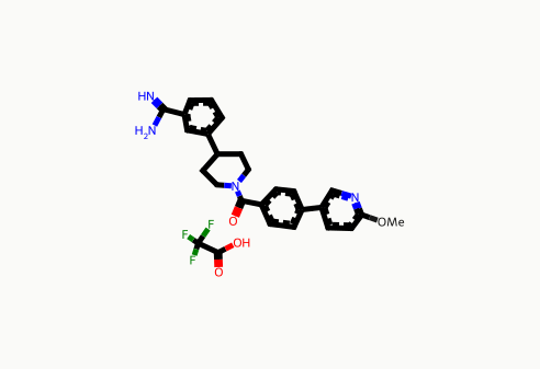 COc1ccc(-c2ccc(C(=O)N3CCC(c4cccc(C(=N)N)c4)CC3)cc2)cn1.O=C(O)C(F)(F)F